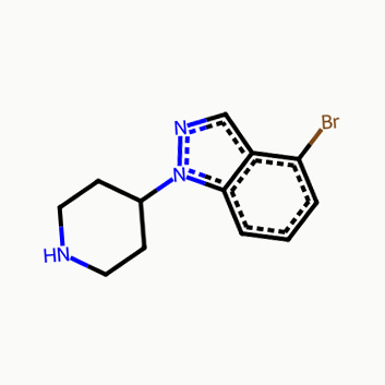 Brc1cccc2c1cnn2C1CCNCC1